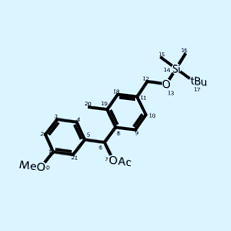 COc1cccc(C(OC(C)=O)c2ccc(CO[Si](C)(C)C(C)(C)C)cc2C)c1